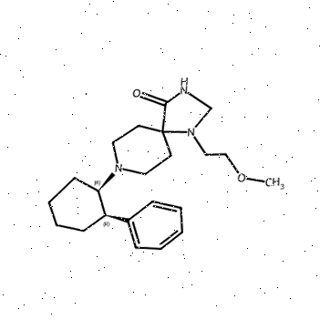 COCCN1CNC(=O)C12CCN([C@@H]1CCCC[C@@H]1c1ccccc1)CC2